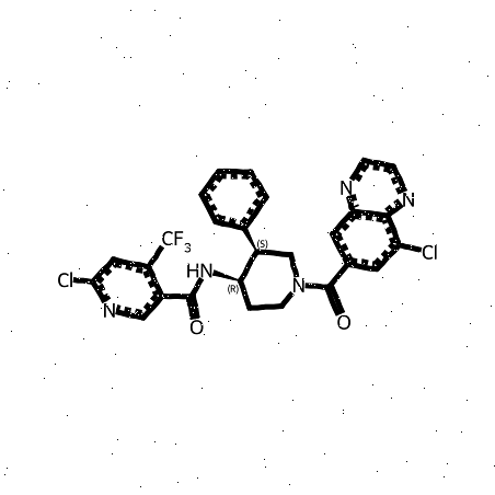 O=C(N[C@@H]1CCN(C(=O)c2cc(Cl)c3nccnc3c2)C[C@@H]1c1ccccc1)c1cnc(Cl)cc1C(F)(F)F